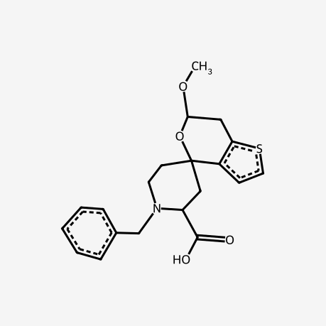 COC1Cc2sccc2C2(CCN(Cc3ccccc3)C(C(=O)O)C2)O1